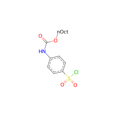 CCCCCCCCOC(=O)Nc1ccc(S(=O)(=O)Cl)cc1